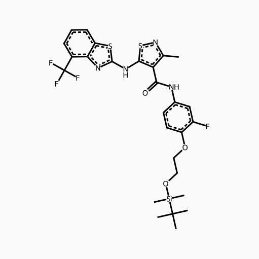 Cc1nsc(Nc2nc3c(C(F)(F)F)cccc3s2)c1C(=O)Nc1ccc(OCCO[Si](C)(C)C(C)(C)C)c(F)c1